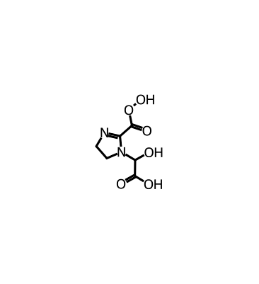 O=C(OO)C1=NCCN1C(O)C(=O)O